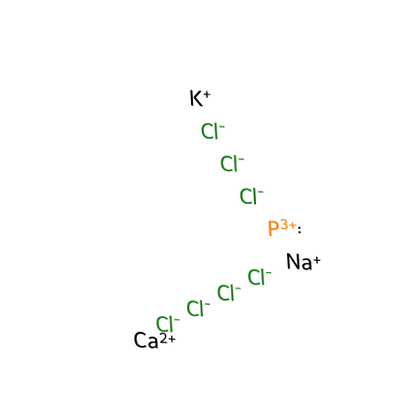 [Ca+2].[Cl-].[Cl-].[Cl-].[Cl-].[Cl-].[Cl-].[Cl-].[K+].[Na+].[P+3]